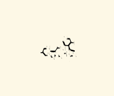 Cn1cncc1-c1c(F)cncc1NC(=O)c1c2ncc(F)cn2n[13c]1N